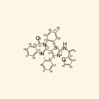 C=C(Nc1nc(-c2ccccc2)c(-c2nc3ccccc3c(=O)n2-c2ccc(C)cc2)s1)c1ccco1